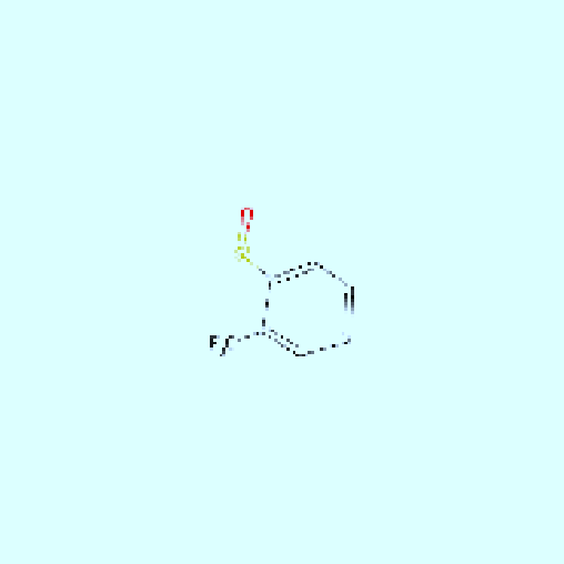 O=[S+]c1ccccc1C(F)(F)F